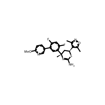 COc1ccc(-c2cc([C@]3(C)C[C@@H](c4c(C)noc4C)SC(N)=N3)c(F)cc2F)cn1